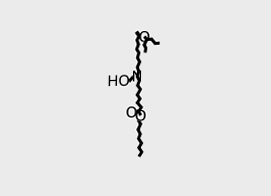 C=C(CCCCCCCCN(CCO)CCCCCCCC(=O)OCCCCCCCCC)OC(CCC)CCC